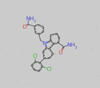 NC(=O)c1cccc(Cn2c3cc(-c4c(Cl)cccc4Cl)c[c]c3c3c(C(N)=O)cccc32)c1